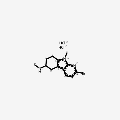 CNC1CCc2c(c3ccc(Br)nc3n2C)C1.Cl.Cl